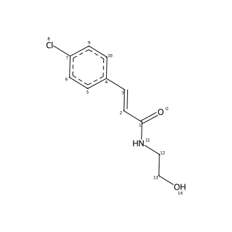 O=C(C=Cc1ccc(Cl)cc1)NCCO